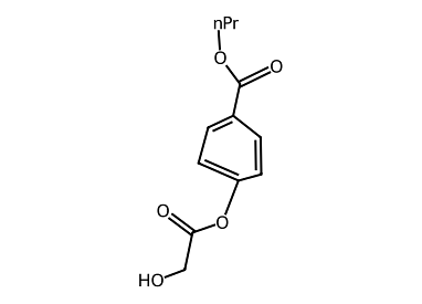 CCCOC(=O)c1ccc(OC(=O)CO)cc1